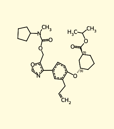 C=CCc1cc(-c2ncoc2COC(=O)N(C)C2CCCC2)ccc1O[C@H]1CCC[C@H](C(=O)OC(C)C)C1